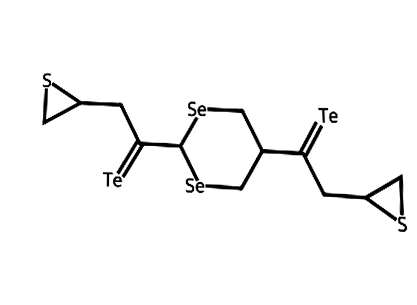 [Te]=C(CC1CS1)C1C[Se]C(C(=[Te])CC2CS2)[Se]C1